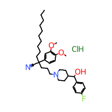 CCCCCCCCCCC(C#N)(CCCN1CCC(C(O)c2ccc(F)cc2)CC1)c1ccc(OC)c(OC)c1.Cl